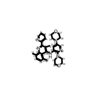 Cc1c(-c2ccccn2)nc2c(C)ccc(F)c2c1Nc1cc(N2CCOCC2)cnc1N1CCOCC1